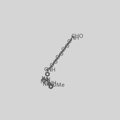 COc1cccc2cc(-c3nc([C@H]4CC[C@H](C(=O)NCCOCCOCCOCCOCCOCCOCCOCCNC=O)CC4)n4ncnc(N)c34)[nH]c12